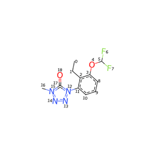 CCc1c(OC(F)F)cccc1-n1nnn(C)c1=O